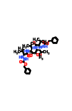 CC(C)C[C@H](NC(=O)[C@@H](NNC(=O)OCc1ccccc1)C(C)C)[C@@H](O)[C@H](O)[C@H](CC(C)C)NC(=O)[C@@H](NNC(=O)OCc1ccccc1)C(C)C